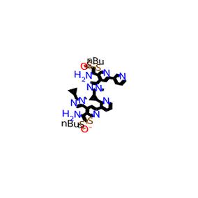 CCCC[S@@+]([O-])c1sc2nc(-c3cccnc3C3CC3c3ncc(-c4cc(-c5cccnc5)nc5sc([S@@+]([O-])CCCC)c(N)c45)n3C)cc(-c3cnc(C4CC4)n3C)c2c1N